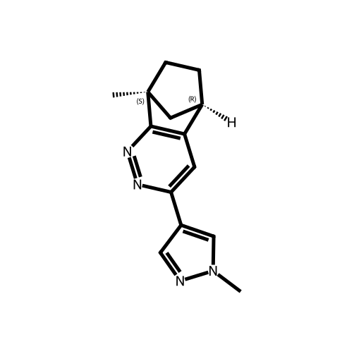 Cn1cc(-c2cc3c(nn2)[C@@]2(C)CC[C@@H]3C2)cn1